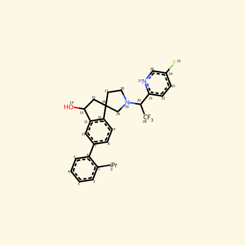 CC(C)c1ccccc1-c1ccc2c(c1)C(O)CC21CCN(C(c2ccc(F)cn2)C(F)(F)F)C1